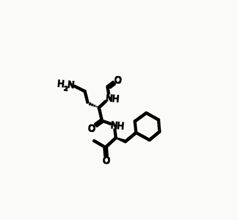 CC(=O)[C@H](CC1CCCCC1)NC(=O)[C@H](CCN)NC=O